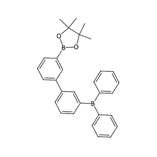 CC1(C)OB(c2cccc(-c3cccc(B(c4ccccc4)c4ccccc4)c3)c2)OC1(C)C